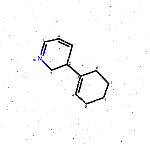 C1=CC(C2=CCCCC2)CN=C1